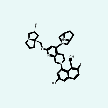 C#Cc1c(F)ccc2cc(O)cc(N3CCc4c(N5CC6CCC(C5)N6)cc(OC[C@@]56CCCN5C[C@H](F)C6)nc4C3)c12